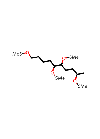 CSOCCCCC(OSC)C(CCC(C)OSC)OSC